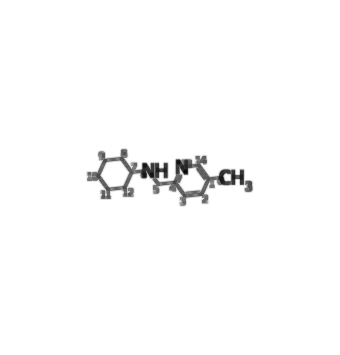 Cc1ccc(CNC2CCCCC2)nc1